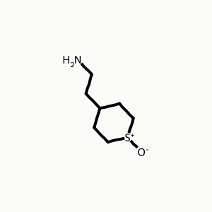 NCCC1CC[S+]([O-])CC1